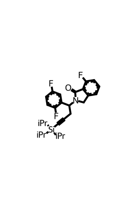 CC(C)[Si](C#CCC(c1cc(F)ccc1F)N1Cc2cccc(F)c2C1=O)(C(C)C)C(C)C